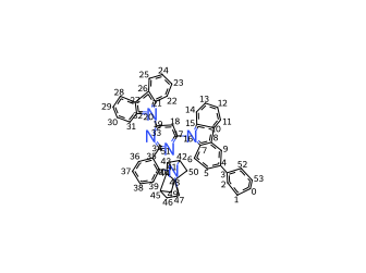 c1ccc(-c2ccc3c(c2)c2ccccc2n3-c2cc(-n3c4ccccc4c4ccccc43)nc(-c3ccccc3N3C4CC5C6CC3C5(C6)C4)n2)cc1